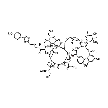 CN[C@H](CC(C)C)C(=O)NC1C(=O)N[C@@H](CC(N)=O)C(=O)N[C@H]2C(=O)N[C@H]3C(=O)N[C@H](C(=O)N[C@@H](C(=O)O)c4cc(O)cc(O)c4-c4cc3ccc4O)[C@H](O[C@H]3C[C@](C)(N)[C@@H](O)[C@H](C)O3)c3ccc(c(Cl)c3)Oc3cc2cc(c3O[C@@H]2O[C@H](CO)[C@@H](O[C@@H]3O[C@H](CNCc4nc(-c5ccc(C(F)(F)F)cc5)no4)[C@H](O)[C@H](O)[C@H]3O)[C@H](O)[C@H]2O)Oc2ccc(cc2Cl)[C@H]1O